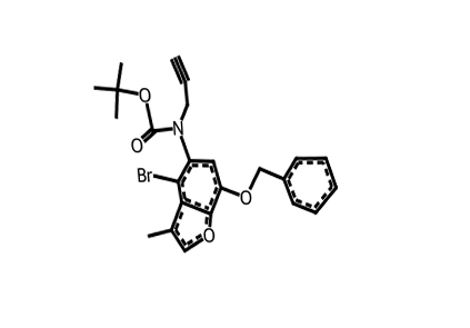 C#CCN(C(=O)OC(C)(C)C)c1cc(OCc2ccccc2)c2occ(C)c2c1Br